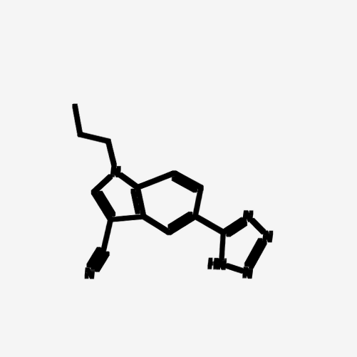 CCCn1cc(C#N)c2cc(-c3nnn[nH]3)ccc21